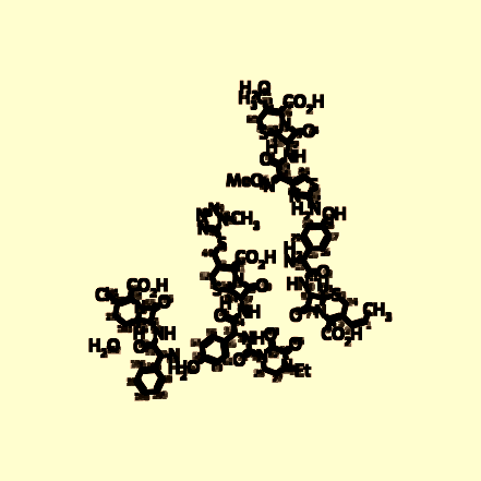 C/C=C\C1=C(C(=O)O)N2C(=O)[C@@H](NC(=O)[C@H](N)c3ccc(O)cc3)[C@H]2SC1.CCN1CCN(C(=O)N[C@@H](C(=O)N[C@@H]2C(=O)N3C(C(=O)O)=C(CSc4nnnn4C)CS[C@H]23)c2ccc(O)cc2)C(=O)C1=O.CO/N=C(\C(=O)N[C@@H]1C(=O)N2C(C(=O)O)=C(C)CS[C@H]12)c1csc(N)n1.N[C@@H](C(=O)N[C@@H]1C(=O)N2C(C(=O)O)=C(Cl)CC[C@H]12)c1ccccc1.O.O